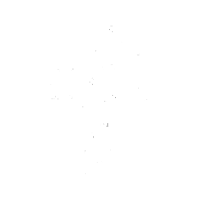 CC(NC(=O)OC(C)(C)C)c1nc2c(F)ccc(C#N)c2c(=O)n1-c1cccnc1